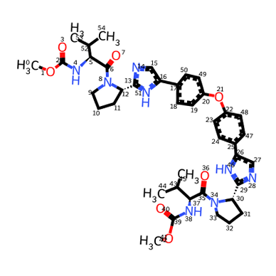 COC(=O)N[C@H](C(=O)N1CCC[C@H]1c1ncc(-c2ccc(Oc3ccc(-c4cnc([C@@H]5CCCN5C(=O)[C@@H](NC(=O)OC)C(C)C)[nH]4)cc3)cc2)[nH]1)C(C)C